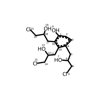 Oc1ccc(CC(O)CCl)c(CC(O)CCl)c1CC(O)CCl